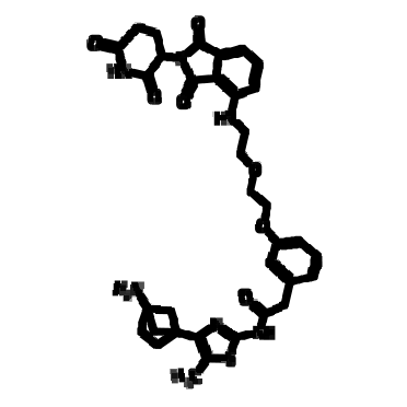 Cc1sc(NC(=O)Cc2cccc(OCCOCCNc3cccc4c3C(=O)N(C3CCC(=O)NC3=O)C4=O)c2)nc1C12CCC(N)(C1)C2